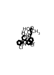 CC(C)(COc1ccc(Br)cc1[C@H]1NC(=O)C[C@@H](c2cccc(Cl)c2)[C@]12C(=O)Nc1cc(Cl)ccc12)C(=O)O